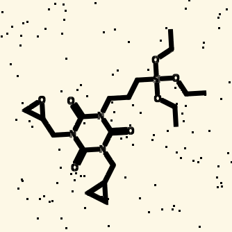 CCO[Si](CCCn1c(=O)n(CC2CC2)c(=O)n(CC2CO2)c1=O)(OCC)OCC